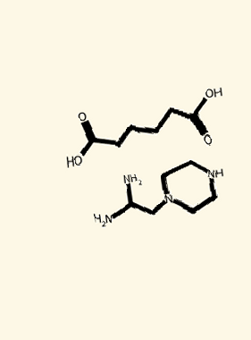 NC(N)CN1CCNCC1.O=C(O)CCCCC(=O)O